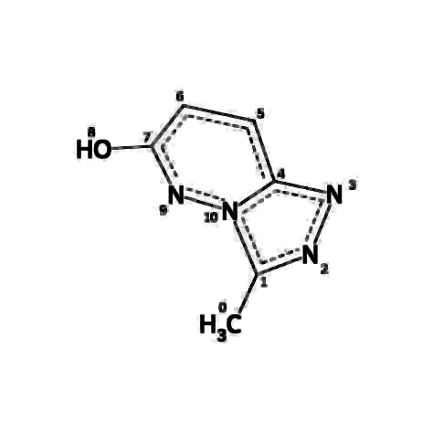 Cc1nnc2ccc(O)nn12